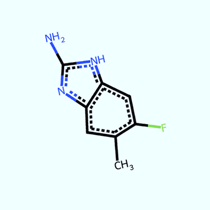 Cc1cc2nc(N)[nH]c2cc1F